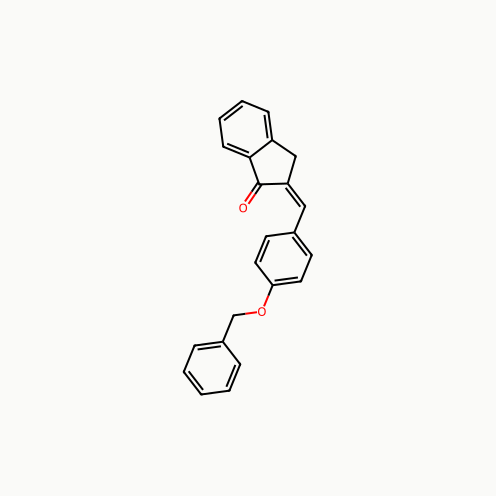 O=C1C(=Cc2ccc(OCc3ccccc3)cc2)Cc2ccccc21